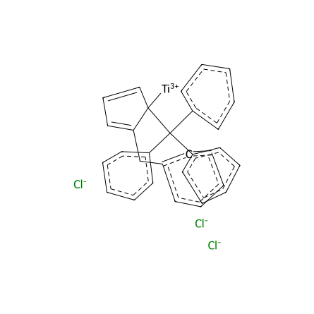 [Cl-].[Cl-].[Cl-].[Ti+3][C]1(C(c2ccccc2)(c2ccccc2)c2ccccc2)C=CC=C1Cc1ccccc1